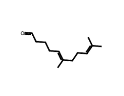 CC(C)=CCCC(C)=CCCCC=O